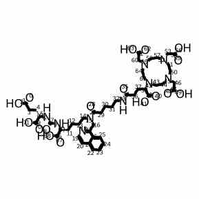 O=C(O)CC[C@H](NC(=O)N[C@@H](CCCCN(Cc1nccc2ccccc12)C(=O)CCCCNC(=O)CCC(C(=O)O)N1CCN(CC(=O)O)CCN(CC(=O)O)CCN(CC(=O)O)CC1)C(=O)O)C(=O)O